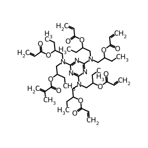 C=CC(=O)OC(CC)CN(CC(CC)OC(=O)C=C)c1nc(N(CC(CC)OC(=O)C=C)CC(CC)OC(=O)C=C)nc(N(CC(CC)OC(=O)C=C)CC(CC)OC(=O)C(=C)C)n1